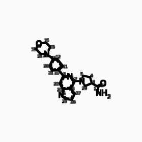 NC(=O)C1CCN(c2nc(-c3ccc(N4CCOCC4)cc3)cc3ncccc23)C1